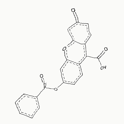 O=C(O)c1c2ccc(=O)cc-2oc2cc(O[PH](=O)c3ccccc3)ccc12